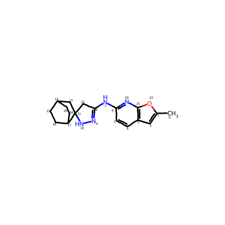 Cc1cc2ccc(NC3=NNC4(C3)CC3CCC4CC3)nc2o1